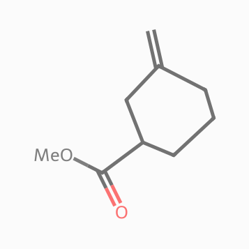 C=C1CCCC(C(=O)OC)C1